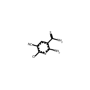 N#Cc1cc(C(N)=S)c(N)nc1Cl